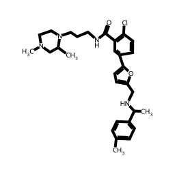 Cc1ccc(C(C)NCc2ccc(-c3ccc(Cl)c(C(=O)NCCCN4CCN(C)CC4C)c3)o2)cc1